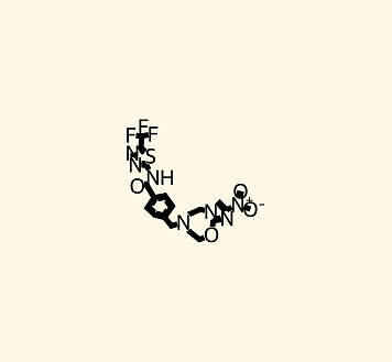 O=C(Nc1nnc(C(F)(F)F)s1)c1ccc(CN2CCOc3nc([N+](=O)[O-])cn3CC2)cc1